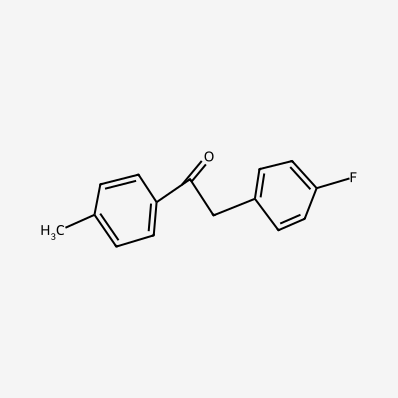 Cc1ccc(C(=O)Cc2ccc(F)cc2)cc1